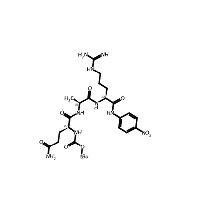 C[C@H](NC(=O)[C@H](CCC(N)=O)NC(=O)OC(C)(C)C)C(=O)N[C@@H](CCCNC(=N)N)C(=O)Nc1ccc([N+](=O)[O-])cc1